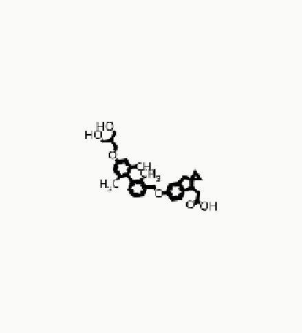 Cc1cc(OCC(CO)CO)cc(C)c1-c1cccc(COc2ccc3c(c2)CC2(CC2)C3CC(=O)O)c1C